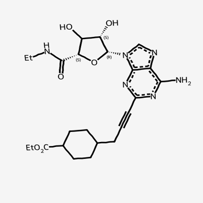 CCNC(=O)[C@H]1O[C@@H](n2cnc3c(N)nc(C#CCC4CCC(C(=O)OCC)CC4)nc32)[C@@H](O)C1O